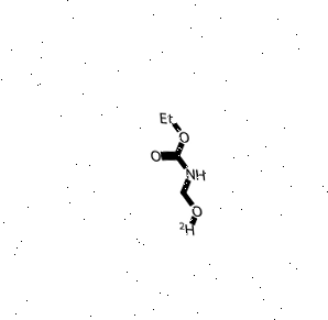 [2H]OCNC(=O)OCC